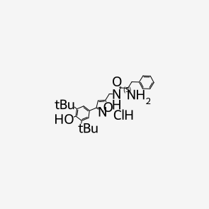 CC(C)(C)c1cc(-c2cc(CNC(=O)[C@@H](N)Cc3ccccc3)on2)cc(C(C)(C)C)c1O.Cl